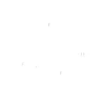 CCOc1cc(CC)cc(C=O)c1F